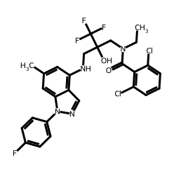 CCN(CC(O)(CNc1cc(C)cc2c1cnn2-c1ccc(F)cc1)C(F)(F)F)C(=O)c1c(Cl)cccc1Cl